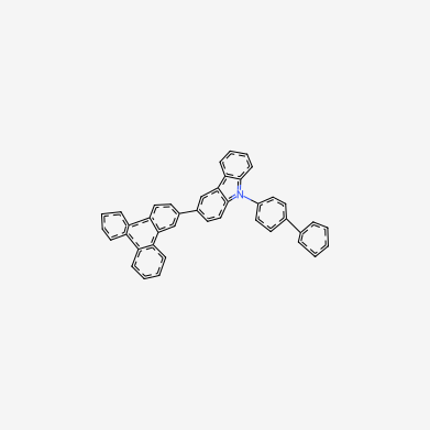 c1ccc(-c2ccc(-n3c4ccccc4c4cc(-c5ccc6c7ccccc7c7ccccc7c6c5)ccc43)cc2)cc1